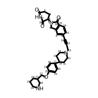 O=C1CCC(N2Cc3cc(C#CCN4CCC(c5ccc(OCC6CCCNC6)cc5)CC4)ccc3C2=O)C(=O)N1